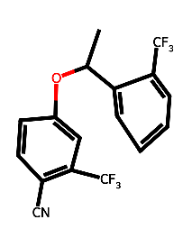 CC(Oc1ccc(C#N)c(C(F)(F)F)c1)c1ccccc1C(F)(F)F